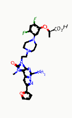 C[C@@H](Oc1cc(N2CCN(CCn3c(=O)n(C)c4c3nc(N)n3nc(-c5ccco5)cc43)CC2)c(F)cc1F)C(=O)O